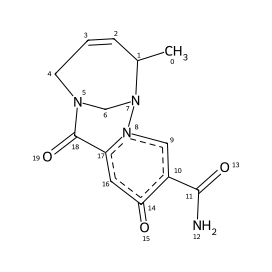 CC1C=CCN2CN1n1cc(C(N)=O)c(=O)cc1C2=O